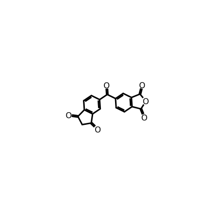 O=C(c1ccc2c(c1)C(=O)CC2=O)c1ccc2c(c1)C(=O)OC2=O